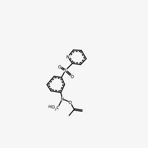 C=C(C)ON(C(=O)O)c1cccc(S(=O)(=O)c2ccccn2)c1